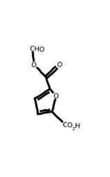 O=COC(=O)c1ccc(C(=O)O)o1